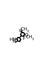 COc1cc(OC)c(F)c(-c2ccc3cn[nH]c3c2)c1